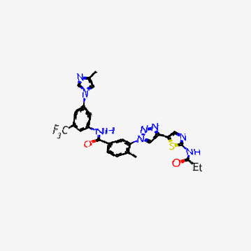 CCC(=O)Nc1ncc(-c2cn(-c3cc(C(=O)Nc4cc(-n5cnc(C)c5)cc(C(F)(F)F)c4)ccc3C)nn2)s1